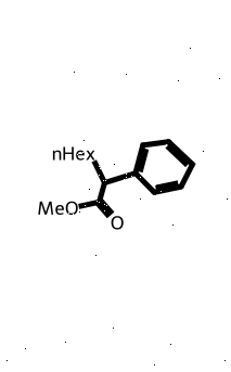 CCCCCCC(C(=O)OC)c1ccccc1